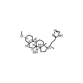 CO[C@@H]1CC[C@@]2(C)[C@@H](C1)C[C@@H](O)[C@@H]1[C@@H]2CC[C@]2(C)[C@@H]([C@H](C)CCc3nnn[nH]3)CC[C@@H]12